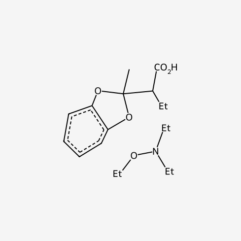 CCC(C(=O)O)C1(C)Oc2ccccc2O1.CCON(CC)CC